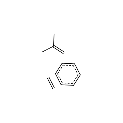 C=C.C=C(C)C.c1ccccc1